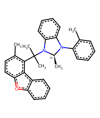 Cc1ccccc1N1c2ccccc2N(C(C)(C)c2c(C)ccc3oc4ccccc4c23)[C@@H]1C